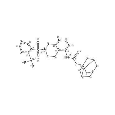 O=C(CC12CC3CC(CC(C3)C1)C2)Nc1ncnc2c1CCN(S(=O)(=O)c1ccccc1C(F)(F)F)C2